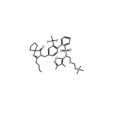 CCCCC1=NC2(CCCC2)C(=O)N1Cc1ccc(-c2ccccc2S(=O)(=O)N(COCC[Si](C)(C)C)c2onc(C)c2C)c(C(C)(F)F)c1